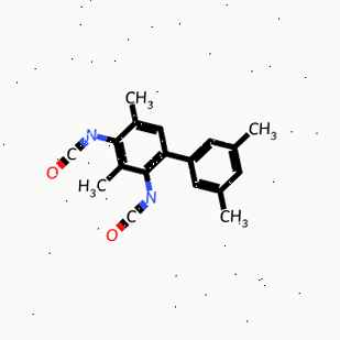 Cc1cc(C)cc(-c2cc(C)c(N=C=O)c(C)c2N=C=O)c1